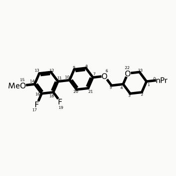 CCCC1CCC(COc2ccc(-c3ccc(OC)c(F)c3F)cc2)OC1